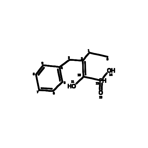 CCC(Cc1ccccc1)=C(O)[PH](=O)O